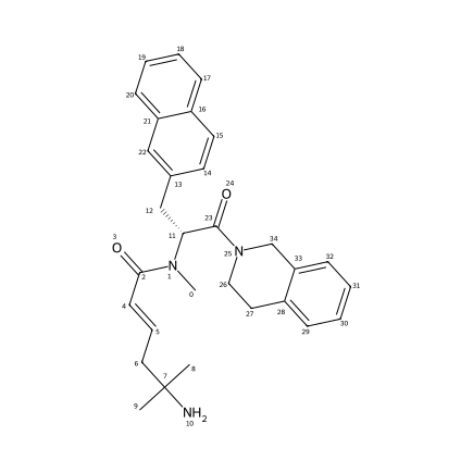 CN(C(=O)/C=C/CC(C)(C)N)[C@H](Cc1ccc2ccccc2c1)C(=O)N1CCc2ccccc2C1